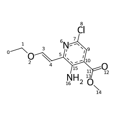 CCO/C=C/c1nc(Cl)cc(C(=O)OC)c1N